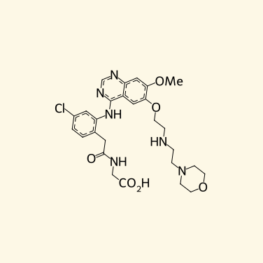 COc1cc2ncnc(Nc3cc(Cl)ccc3CC(=O)NCC(=O)O)c2cc1OCCNCCN1CCOCC1